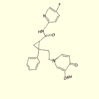 COc1cn(CCC2(c3ccccc3)CC2C(=O)Nc2ccc(F)cn2)ccc1=O